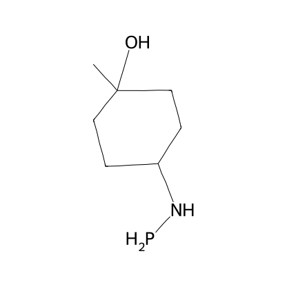 CC1(O)CCC(NP)CC1